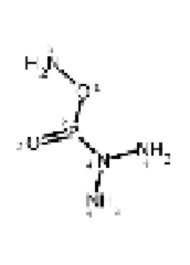 NO[P](=O)N(N)N